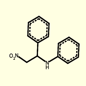 O=[N+]([O-])CC(Nc1ccccc1)c1ccccc1